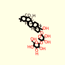 CC1(C)CC[C@]2(C(=O)O)CC[C@]3(C)C(=CC[C@@H]4[C@@]5(C)CC[C@H](O[C@@H]6OC[C@H](O[C@@H]7O[C@H](CO)[C@@H](O)[C@H](O)[C@H]7O)[C@H](O)[C@H]6O)[C@@](C)(CO)[C@@H]5CC[C@]43C)[C@@H]2C1